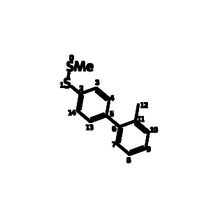 CSSc1ccc(-c2ccccc2C)cc1